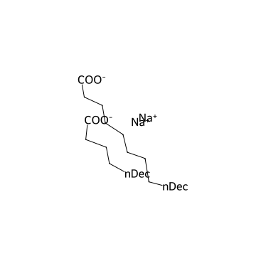 CCCCCCCCCCCCCC(=O)[O-].CCCCCCCCCCCCCCCCCC(=O)[O-].[Na+].[Na+]